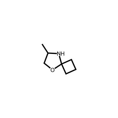 CC1COC2(CCC2)N1